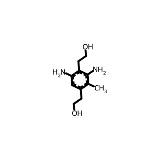 Cc1c(CCO)cc(N)c(CCO)c1N